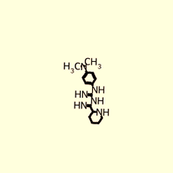 CN(C)c1ccc(NC(=N)NC(=N)C2CCCCN2)cc1